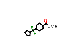 COC(=O)C1CCC(C(F)(F)C2CCCC2)CC1